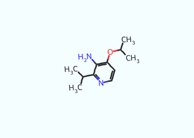 CC(C)Oc1ccnc(C(C)C)c1N